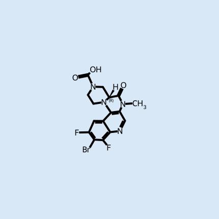 CN1C(=O)[C@H]2CN(C(=O)O)CCN2c2c1cnc1c(F)c(Br)c(F)cc21